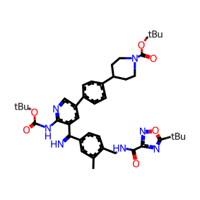 Cc1cc(C(=N)c2cc(-c3ccc(C4CCN(C(=O)OC(C)(C)C)CC4)cc3)cnc2NC(=O)OC(C)(C)C)ccc1CNC(=O)c1noc(C(C)(C)C)n1